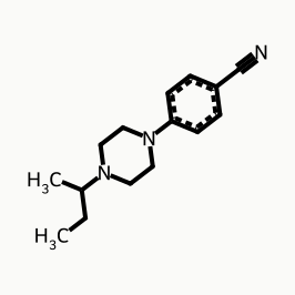 CCC(C)N1CCN(c2ccc(C#N)cc2)CC1